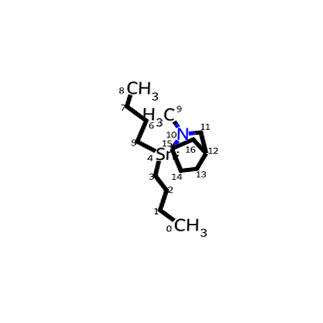 CCC[CH2][Sn][CH2]CCC.CN1CC2CCC1C2